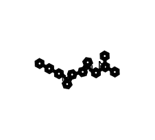 c1ccc(-c2ccc(-c3ccc(-n4c5ccccc5c5cc(-c6ccc7c(c6)c6ccccc6n7-c6cccc(-c7cc(-c8ccccc8)cc(-c8ccccc8)n7)c6)ccc54)cc3)cc2)cc1